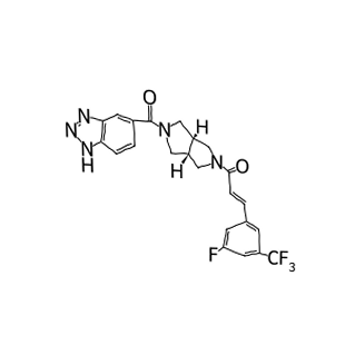 O=C(C=Cc1cc(F)cc(C(F)(F)F)c1)N1C[C@@H]2CN(C(=O)c3ccc4[nH]nnc4c3)C[C@@H]2C1